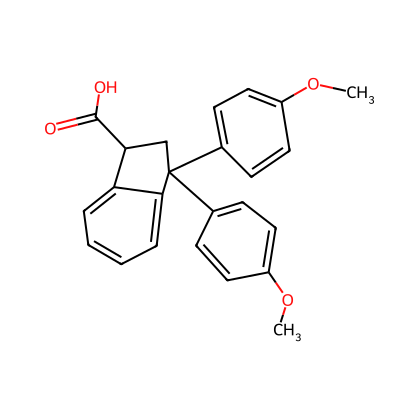 COc1ccc(C2(c3ccc(OC)cc3)CC(C(=O)O)c3ccccc32)cc1